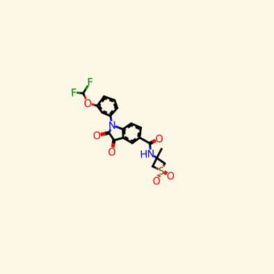 CC1(NC(=O)c2ccc3c(c2)C(=O)C(=O)N3c2cccc(OC(F)F)c2)CS(=O)(=O)C1